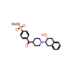 CNS(=O)(=O)c1ccc(C(=O)C2CCN([C@@H]3Cc4ccccc4C[C@H]3O)CC2)cc1